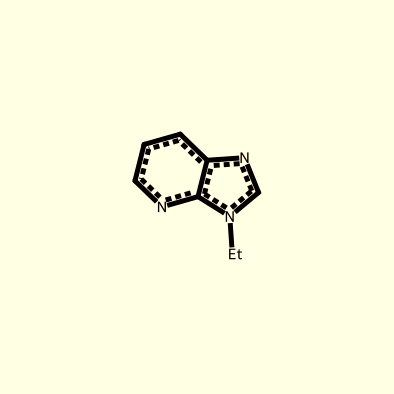 [CH2]Cn1cnc2cccnc21